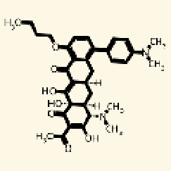 CCCCOc1ccc(-c2ccc(N(C)C)cc2)c2c1C(=O)C1=C(O)[C@]3(O)C(=O)C(C(C)=O)=C(O)[C@@H](N(C)C)[C@@H]3C[C@@H]1C2